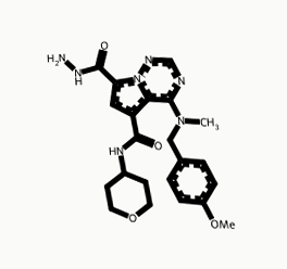 COc1ccc(CN(C)c2ncnn3c(C(=O)NN)cc(C(=O)NC4CCOCC4)c23)cc1